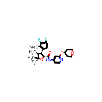 COc1c([C@H]2[C@H](C(=O)Nc3ccnc(OC4CCOCC4)c3)O[C@@](C)(C(F)(F)F)[C@H]2C)ccc(F)c1F